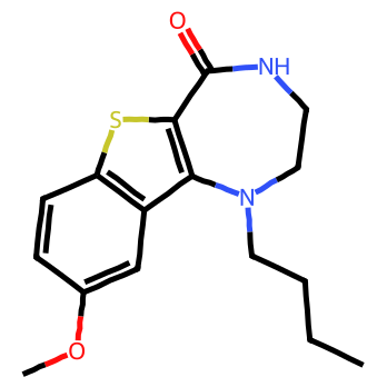 CCCCN1CCNC(=O)c2sc3ccc(OC)cc3c21